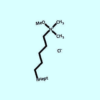 CCCCCCCCCCCC[N+](C)(C)OC.[Cl-]